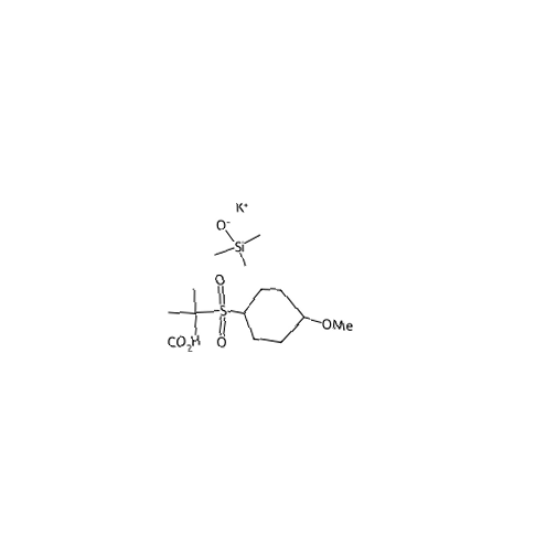 COC1CCC(S(=O)(=O)C(C)(C)C(=O)O)CC1.C[Si](C)(C)[O-].[K+]